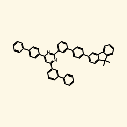 CC1(C)c2ccccc2-c2cc(-c3ccc(-c4cccc(-c5nc(-c6ccc(-c7ccccc7)cc6)cc(-c6cccc(-c7ccccc7)c6)n5)c4)cc3)ccc21